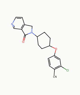 N#Cc1ccc(OC2CCC(N3Cc4ccncc4C3=O)CC2)cc1Cl